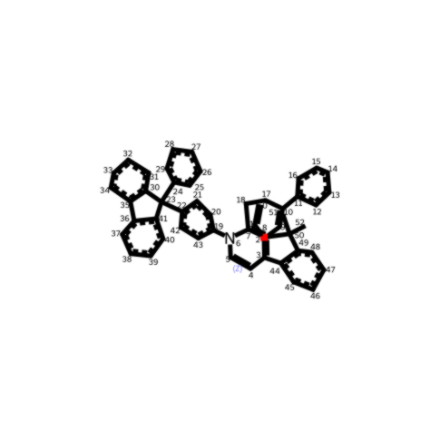 C=CC1=C(/C=C\N(C2=CC=C(c3ccccc3)CC2)c2ccc(C3(c4ccccc4)c4ccccc4-c4ccccc43)cc2)c2ccccc2C1(C)C